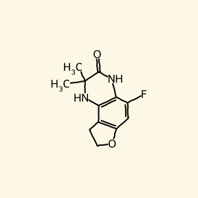 CC1(C)Nc2c3c(cc(F)c2NC1=O)OCC3